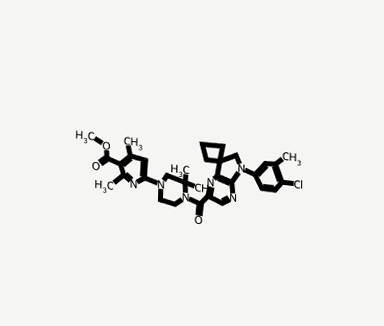 COC(=O)c1c(C)cc(N2CCN(C(=O)c3cnc4c(n3)C3(CCC3)CN4c3ccc(Cl)c(C)c3)C(C)(C)C2)nc1C